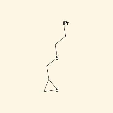 CC(C)CCSCC1CS1